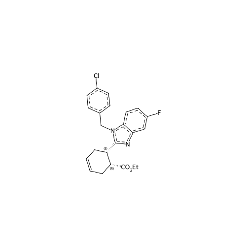 CCOC(=O)[C@@H]1CC=CC[C@@H]1c1nc2cc(F)ccc2n1Cc1ccc(Cl)cc1